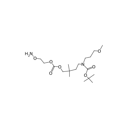 COCCCN(CCC(C)(C)COC(=O)OCCON)C(=O)OC(C)(C)C